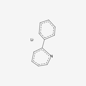 [Li].c1ccc(-c2ccccn2)cc1